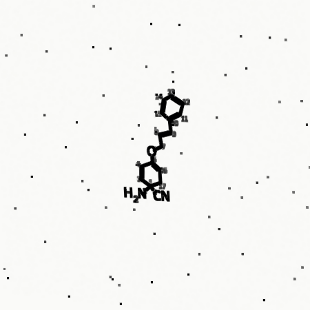 N#CC1(N)C=CC(OCC=Cc2ccccc2)=CC1